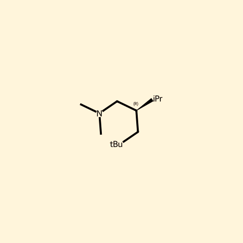 CC(C)[C@H](CN(C)C)CC(C)(C)C